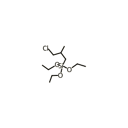 CCO[Si](CC(C)CCl)(OCC)OCC